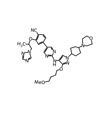 COCCCCOc1nn(C2CCC(N3CCOCC3)CC2)cc1Nc1ncc(-c2ccc(C#N)c(OC(C)Cn3cncn3)c2)cn1